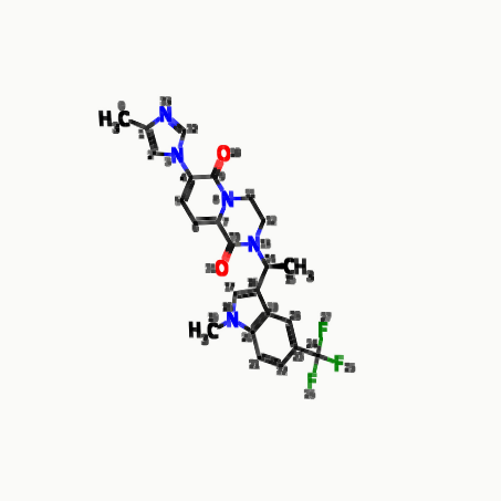 Cc1cn(-c2ccc3n(c2=O)CCN([C@@H](C)c2cn(C)c4ccc(C(F)(F)F)cc24)C3=O)cn1